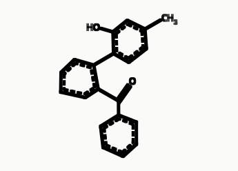 Cc1ccc(-c2ccccc2C(=O)c2ccccc2)c(O)c1